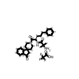 CC(C)(N)C(=O)N[C@H](CCCc1ccccc1)C(=O)N1CCC2(CC1)CC(=O)c1ccccc12.O=C(O)C(F)(F)F